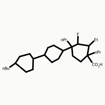 CCCCC1CCC(C2CCC(C3(CCC)CCC(CCC)(C(=O)O)C(CC)C3F)CC2)CC1